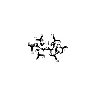 CC(C)O[Si](C[SiH2]C[Si](OC(C)C)(OC(C)C)OC(C)C)(OC(C)C)OC(C)C